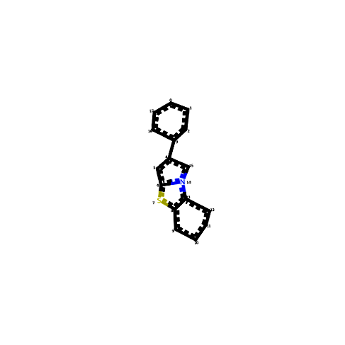 c1ccc(-c2cc3sc4ccccc4n3c2)cc1